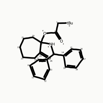 CC(C)(C)CC(=O)OC1(NC(c2ccccc2)c2ccccc2)CCCCCC1=O